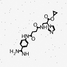 N=C(N)c1ccc(NC(=O)CCC(=O)NCC(C(=O)OC2CC2)n2ccnc2)cc1